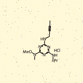 CC#CCNc1nc(NCCC)nc(N(C)OC)n1.Cl